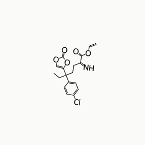 C=COC(=O)C(=N)CCC(CC)(c1ccc(Cl)cc1)c1coc(=O)o1